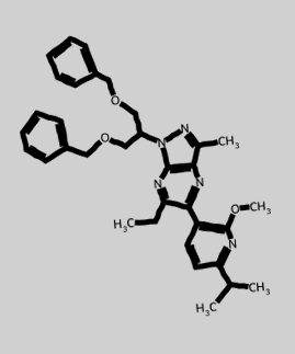 CCc1nc2c(nc1-c1ccc(C(C)C)nc1OC)c(C)nn2C(COCc1ccccc1)COCc1ccccc1